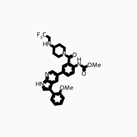 COC(=O)Nc1ccc(-c2cnc3[nH]cc(-c4ccccc4OC)c3c2)cc1C(=O)N1CCC(NCC(F)(F)F)CC1